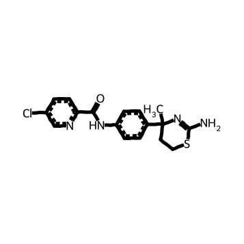 CC1(c2ccc(NC(=O)c3ccc(Cl)cn3)cc2)CCSC(N)=N1